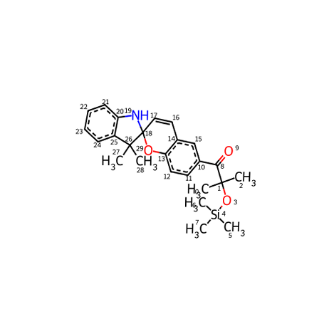 CC(C)(O[Si](C)(C)C)C(=O)c1ccc2c(c1)C=CC1(Nc3ccccc3C1(C)C)O2